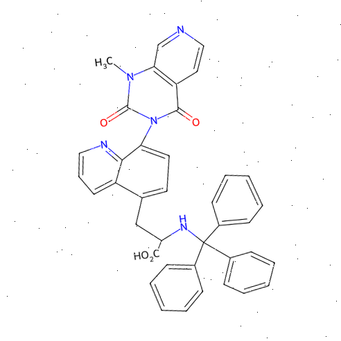 Cn1c(=O)n(-c2ccc(CC(NC(c3ccccc3)(c3ccccc3)c3ccccc3)C(=O)O)c3cccnc23)c(=O)c2ccncc21